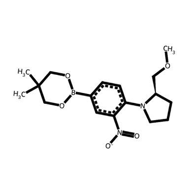 COC[C@H]1CCCN1c1ccc(B2OCC(C)(C)CO2)cc1[N+](=O)[O-]